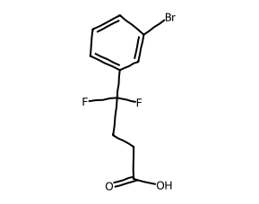 O=C(O)CCC(F)(F)c1cccc(Br)c1